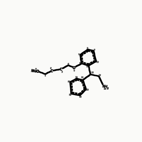 COCCCCOc1ccccc1C(CN)c1ccccc1